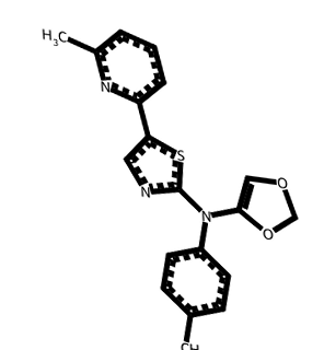 Cc1ccc(N(C2=COCO2)c2ncc(-c3cccc(C)n3)s2)cc1